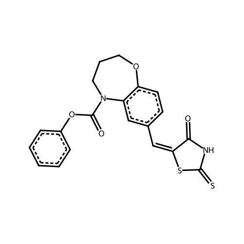 O=C1NC(=S)SC1=Cc1ccc2c(c1)N(C(=O)Oc1ccccc1)CCCO2